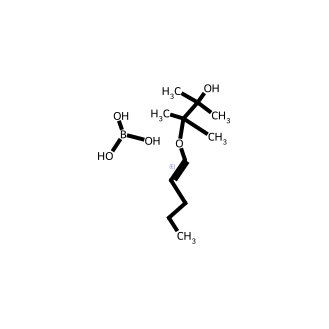 CCC/C=C/OC(C)(C)C(C)(C)O.OB(O)O